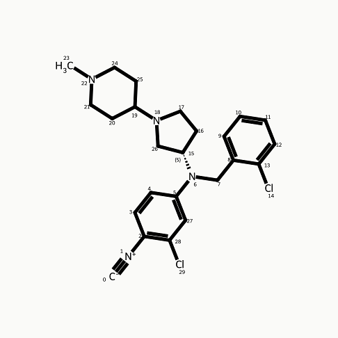 [C-]#[N+]c1ccc(N(Cc2ccccc2Cl)[C@H]2CCN(C3CCN(C)CC3)C2)cc1Cl